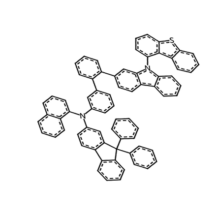 c1ccc(C2(c3ccccc3)c3ccccc3-c3ccc(N(c4cccc(-c5ccccc5-c5ccc6c7ccccc7n(-c7cccc8sc9ccccc9c78)c6c5)c4)c4cccc5ccccc45)cc32)cc1